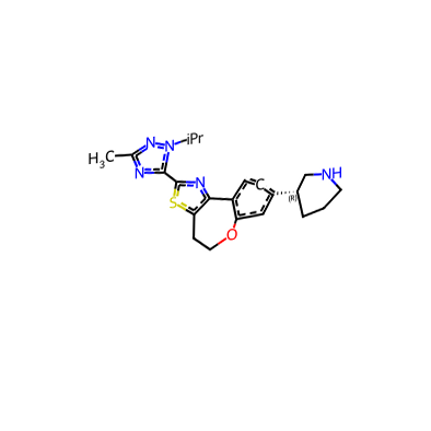 Cc1nc(-c2nc3c(s2)CCOc2cc([C@H]4CCCNC4)ccc2-3)n(C(C)C)n1